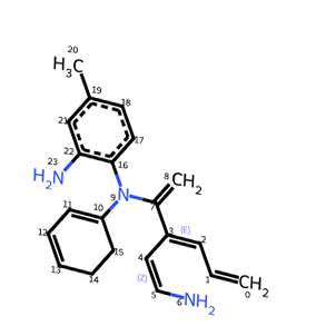 C=C/C=C(\C=C/N)C(=C)N(C1=CC=CCC1)c1ccc(C)cc1N